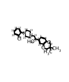 CC1(C)COc2ccc(C(O)CN3CCN(c4ccccc4Cl)CC3)cc2OC1